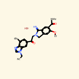 Br.CCOc1cc2c(cc1C(=O)NC)C(=N)N(CC(=O)c1cc(C(C)(C)C)c3ncn(CC#N)c3c1)C2